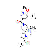 Cc1cc(C(=O)N2CCC3(CC2)c2ccc(C(=O)C(F)(F)F)n2CCN3C)cnc1OC(C)C